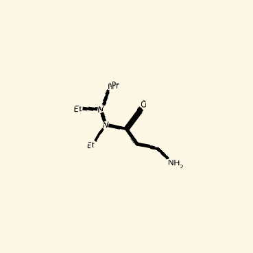 CCCN(CC)N(CC)C(=O)CCN